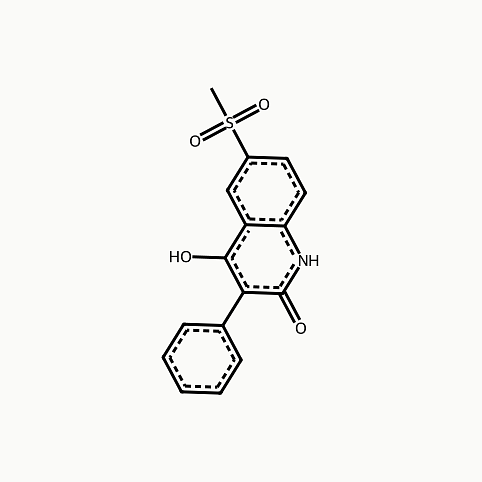 CS(=O)(=O)c1ccc2[nH]c(=O)c(-c3ccccc3)c(O)c2c1